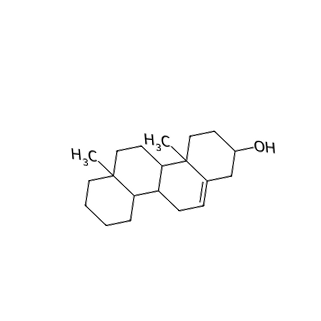 CC12CCCCC1C1CC=C3CC(O)CCC3(C)C1CC2